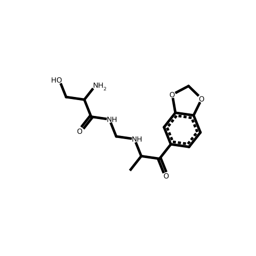 CC(NCNC(=O)C(N)CO)C(=O)c1ccc2c(c1)OCO2